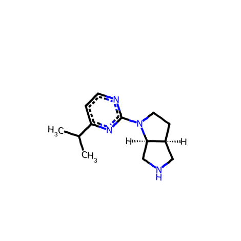 CC(C)c1ccnc(N2CC[C@H]3CNC[C@H]32)n1